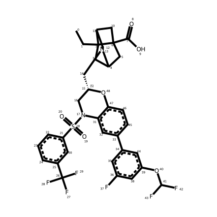 CCC12CC3CC1(C(=O)O)CC2CN3C[C@H]1CN(S(=O)(=O)c2cccc(C(F)(F)F)c2)c2cc(-c3cc(F)cc(OC(F)F)c3)ccc2O1